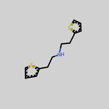 c1csc(CCNCCc2cccs2)c1